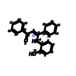 O=C(/C=C(\Nc1ccccc1O)c1ccccc1)c1ccccc1